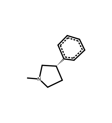 CN1CC[C@@H](c2ccccc2)C1